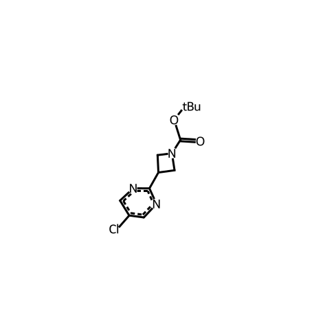 CC(C)(C)OC(=O)N1CC(c2ncc(Cl)cn2)C1